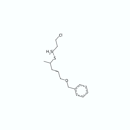 CC(CCCOCc1ccccc1)S[SiH2]CCCl